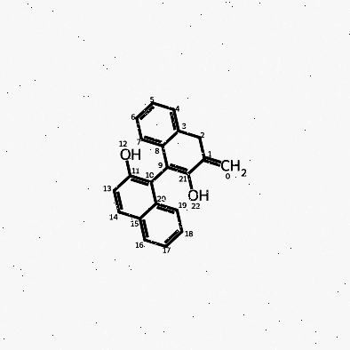 C=C1Cc2ccccc2C(c2c(O)ccc3ccccc23)=C1O